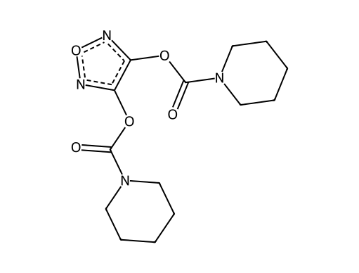 O=C(Oc1nonc1OC(=O)N1CCCCC1)N1CCCCC1